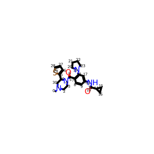 CN1CCN(C(=O)c2ccc(NC(=O)C3CC3)cc2N2CCCC2)C(c2cccs2)C1